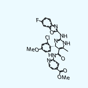 COC(=O)c1ccnc(NC(=O)C2=C(C)NC(Nc3nc4ccc(F)cc4o3)=N[C@H]2c2ccc(OC)cc2Cl)c1